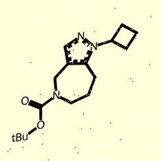 CC(C)(C)OC(=O)N1CCCc2c(cnn2C2CCC2)C1